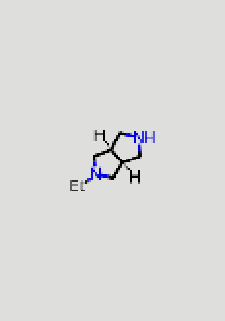 CCN1C[C@H]2CNC[C@H]2C1